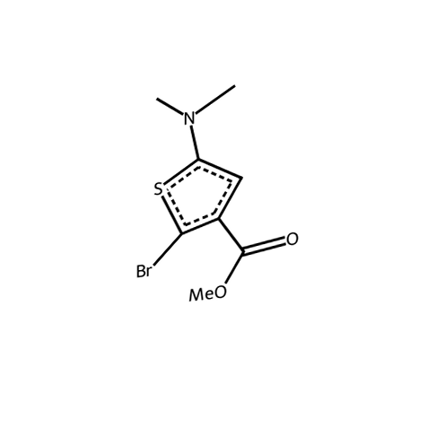 COC(=O)c1cc(N(C)C)sc1Br